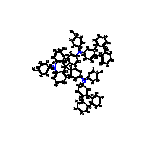 Cc1ccc(N(c2ccc(C3(c4ccc(N(c5ccc(C)cc5)c5ccc6c7ccccc7c7ccccc7c6c5)cc4)c4ccccc4N(c4ccc(C)cc4)c4ccc(C)cc43)cc2)c2ccc3c4ccccc4c4ccccc4c3c2)cc1